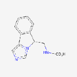 O=C(O)NCC1c2ccccc2-c2cncn21